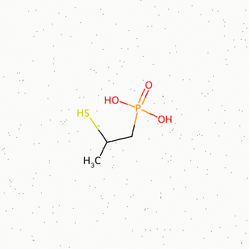 CC(S)CP(=O)(O)O